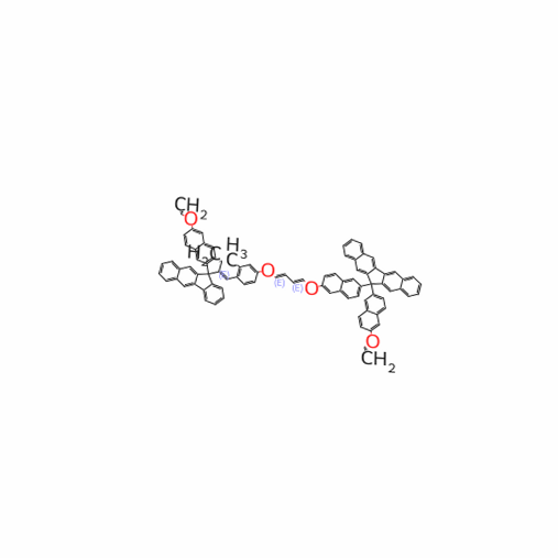 C=COc1ccc2cc(C3(/C(C=C)=C/c4ccc(O/C=C/C=C/Oc5ccc6cc(C7(c8ccc9cc(OC=C)ccc9c8)c8cc9ccccc9cc8-c8cc9ccccc9cc87)ccc6c5)cc4C)c4ccccc4-c4cc5ccccc5cc43)ccc2c1